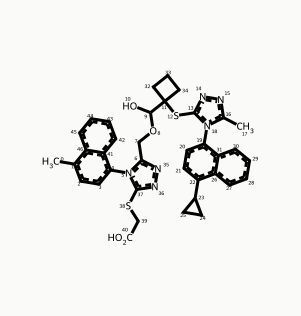 Cc1ccc(-n2c(COC(O)C3(Sc4nnc(C)n4-c4ccc(C5CC5)c5ccccc45)CCC3)nnc2SCC(=O)O)c2ccccc12